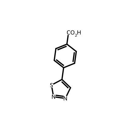 O=C(O)c1ccc(-c2cnns2)cc1